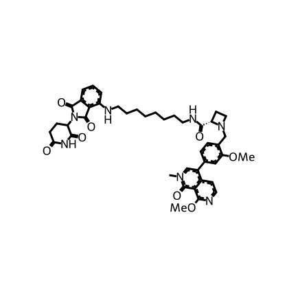 COc1cc(-c2cn(C)c(=O)c3c(OC)nccc23)ccc1CN1CC[C@H]1C(=O)NCCCCCCCCNc1cccc2c1C(=O)N(C1CCC(=O)NC1=O)C2=O